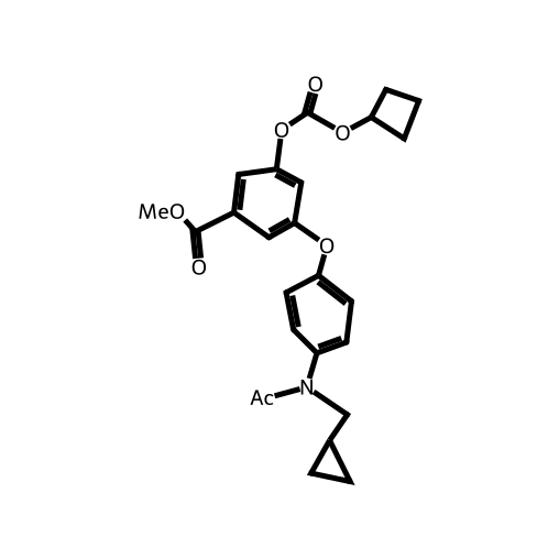 COC(=O)c1cc(OC(=O)OC2CCC2)cc(Oc2ccc(N(CC3CC3)C(C)=O)cc2)c1